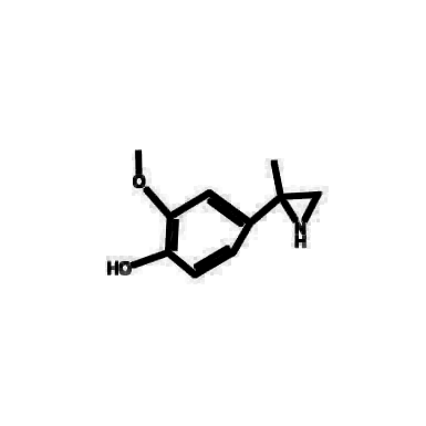 COc1cc(C2(C)CN2)ccc1O